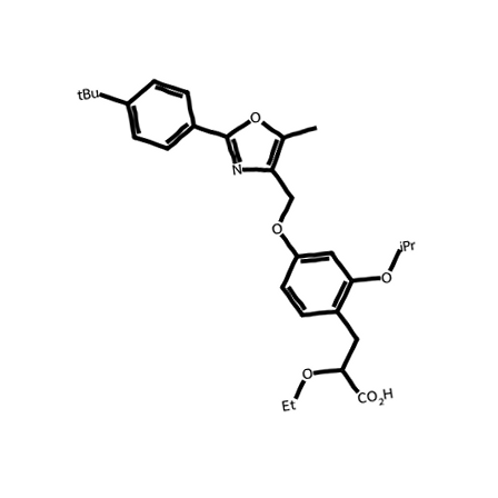 CCOC(Cc1ccc(OCc2nc(-c3ccc(C(C)(C)C)cc3)oc2C)cc1OC(C)C)C(=O)O